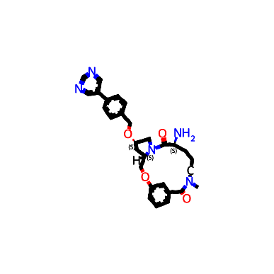 CN1CCC[C@H](N)C(=O)N2C[C@@H](OCc3ccc(-c4cncnc4)cc3)C[C@H]2COc2cccc(c2)C1=O